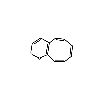 c1cccc2o[pH]ccc=2cc1